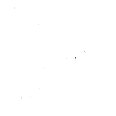 COc1ccc2c(O[C@@H]3C[C@H]4C(=O)N[C@](C)(C(=O)NS(=O)(=O)C5CC5)C/C=C\CCCCC[C@H](CC(=O)N5CCCCC5)C(=O)N4C3)cc(-c3ccccc3)nc2c1